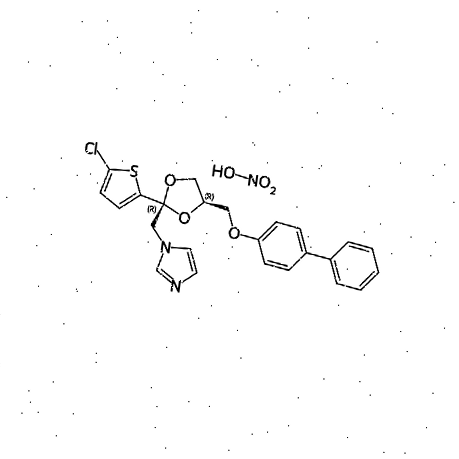 Clc1ccc([C@]2(Cn3ccnc3)OC[C@@H](COc3ccc(-c4ccccc4)cc3)O2)s1.O=[N+]([O-])O